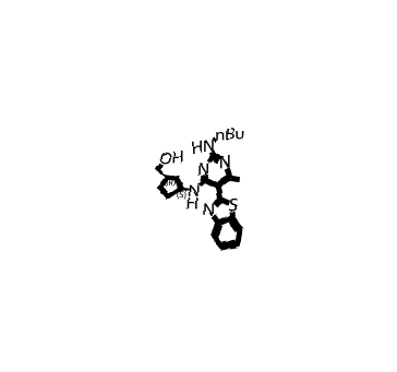 CCCCNc1nc(C)c(-c2nc3ccccc3s2)c(N[C@H]2CC[C@@H](CO)C2)n1